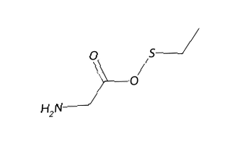 CCSOC(=O)CN